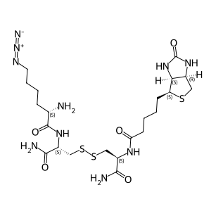 [N-]=[N+]=NCCCC[C@H](N)C(=O)N[C@H](CSSC[C@@H](NC(=O)CCCC[C@@H]1SC[C@@H]2NC(=O)N[C@@H]21)C(N)=O)C(N)=O